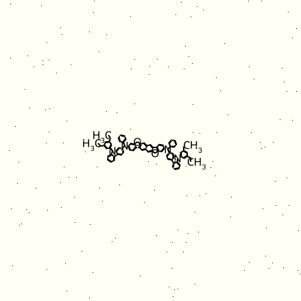 CCc1cc(CC)cc(-n2c3ccccc3c3ccc(N(c4ccccc4)c4ccc5c(c4)oc4cc6cc7c(cc6cc45)oc4cc(N(c5ccccc5)c5ccc6c8ccccc8n(-c8cc(CC)cc(CC)c8)c6c5)ccc47)cc32)c1